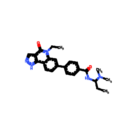 CCC(NC(=O)c1ccc(-c2ccc3c4[nH]ncc4c(=O)n(CC)c3c2)cc1)N(C)C